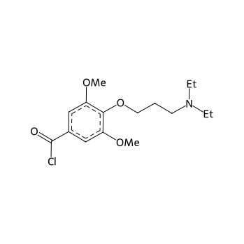 CCN(CC)CCCOc1c(OC)cc(C(=O)Cl)cc1OC